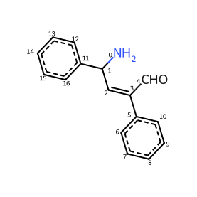 NC(C=C(C=O)c1ccccc1)c1ccccc1